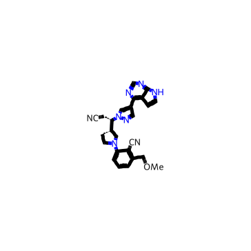 COCc1cccc(N2CC[C@H]([C@H](CC#N)n3cc(-c4ncnc5[nH]ccc45)cn3)C2)c1C#N